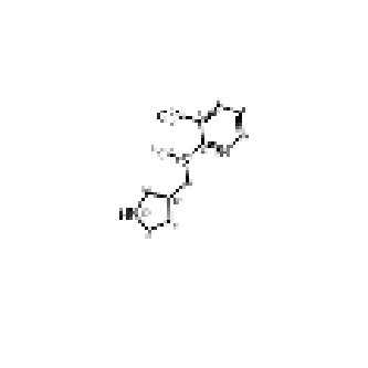 O=[N+]([O-])c1cccnc1[S+]([O-])CC1CCNC1